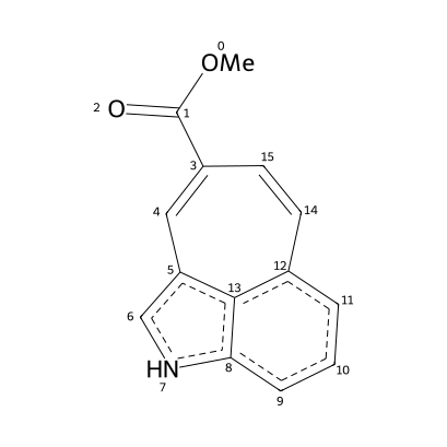 COC(=O)C1=Cc2c[nH]c3cccc(c23)C=C1